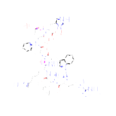 CC(C)C[C@H](NC(=O)[C@@H](N)CCCNC(=N)N)C(=O)N[C@@H](CCCCN)C(=O)N[C@@H](Cc1c[nH]c2ccccc12)C(=O)N[C@@H](Cc1ccccc1)C(=O)N[C@@H](CC(=O)O)C(=O)N[C@@H](Cc1c[nH]cn1)C(=O)O